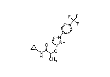 CC(ON1C=CN(c2ccc(C(F)(F)F)cc2)N1)C(=O)NC1CC1